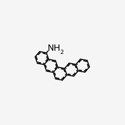 Nc1cccc2cc3ccc4cc5ccccc5cc4c3cc12